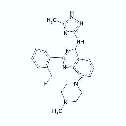 Cc1nc(Nc2nc(-c3ccccc3CF)nc3c(N4CCN(C)CC4)cccc23)n[nH]1